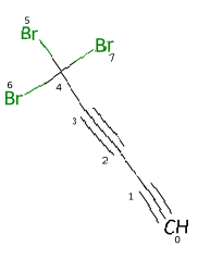 C#CC#CC(Br)(Br)Br